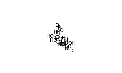 C#Cc1cc(CNC(=O)N2CCOCC2)c2c(c1O)C(=O)C1=C(O)[C@]3(O)C(=O)C(C(N)=O)C(O)C[C@@H]3C[C@@H]1C2